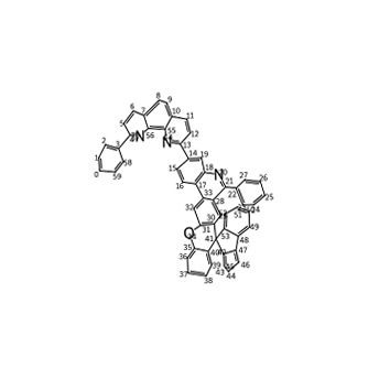 c1ccc(-c2ccc3ccc4ccc(-c5ccc6c(c5)nc(-c5ccccc5)c5cc7c(cc56)Oc5ccccc5C75c6ccccc6-c6ccccc65)nc4c3n2)cc1